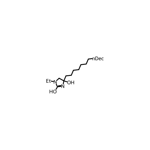 CCCCCCCCCCCCCCCCCC1(O)CN(CC)C(O)=N1